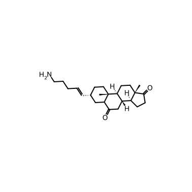 C[C@]12CC[C@@H](/C=C/CCCN)CC1C(=O)C[C@@H]1[C@@H]2CC[C@]2(C)C(=O)CC[C@@H]12